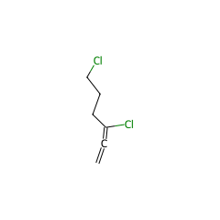 C=C=C(Cl)CCCCl